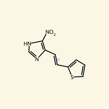 O=[N+]([O-])c1[nH]cnc1/C=C/c1cccs1